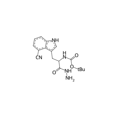 CC(C)(C)OC(=O)NC(Cc1c[nH]c2cccc(C#N)c12)C(=O)NN